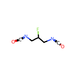 O=C=NCC(F)CN=C=O